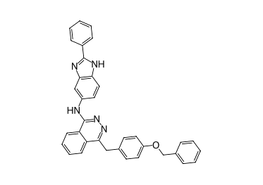 c1ccc(COc2ccc(Cc3nnc(Nc4ccc5[nH]c(-c6ccccc6)nc5c4)c4ccccc34)cc2)cc1